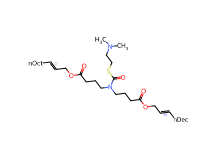 CCCCCCCC/C=C/COC(=O)CCCN(CCCC(=O)OC/C=C/CCCCCCCCCC)C(=O)SCCN(C)C